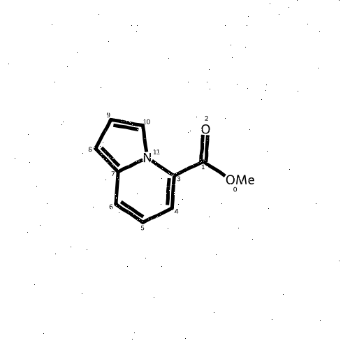 COC(=O)c1cccc2cccn12